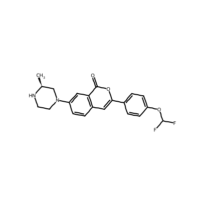 C[C@H]1CN(c2ccc3cc(-c4ccc(OC(F)F)cc4)oc(=O)c3c2)CCN1